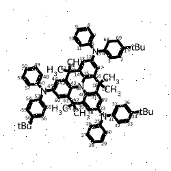 CC(C)(C)C1=CC=C(N(c2ccccc2)c2cc3c4c(c2)C(C)(C)c2cc(N(c5ccccc5)c5ccc(C(C)(C)C)cc5)cc5c2N4c2c(cc(N(c4ccccc4)c4ccc(C(C)(C)C)cc4)cc2C5(C)C)C3(C)C)CC1